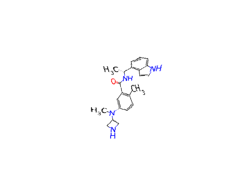 Cc1ccc(N(C)C2CNC2)cc1C(=O)N[C@H](C)c1cccc2[nH]ccc12